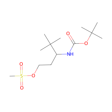 CC(C)(C)OC(=O)NC(CCOS(C)(=O)=O)C(C)(C)C